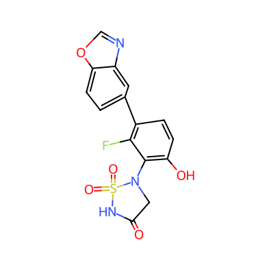 O=C1CN(c2c(O)ccc(-c3ccc4ocnc4c3)c2F)S(=O)(=O)N1